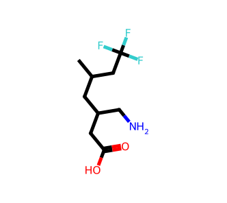 CC(CC(CN)CC(=O)O)CC(F)(F)F